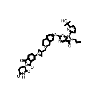 C=CCn1c(=O)c2cnc(Nc3ccc4c(c3)CN(CC3CN(c5ccc6c(c5)C(=O)N(C5CCC(=O)NC5=O)C6=O)C3)CC4)nc2n1-c1cccc(C(C)(C)O)n1